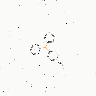 [AlH3].c1ccc(P(c2ccccc2)c2ccccc2)cc1